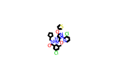 Cc1cc(Cl)cc(C(=O)NCC2CCCC2)c1NC(=O)c1cc(Oc2ccsc2)nn1-c1ncccc1Cl